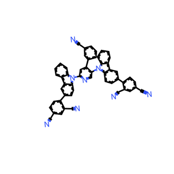 N#Cc1cccc(-c2cc(-n3c4ccccc4c4cc(-c5ccc(C#N)cc5C#N)ccc43)ncc2-n2c3ccccc3c3cc(-c4ccc(C#N)cc4C#N)ccc32)c1